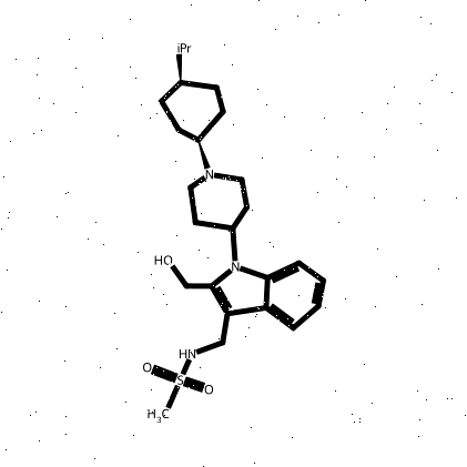 CC(C)[C@H]1CC[C@@H](N2CCC(n3c(CO)c(CNS(C)(=O)=O)c4ccccc43)CC2)CC1